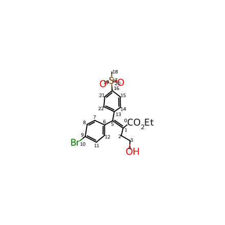 CCOC(=O)C(CCO)=C(c1ccc(Br)cc1)c1ccc(S(C)(=O)=O)cc1